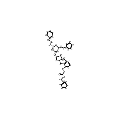 O=C(COc1cccc2c1CC1C[C@H](OC3C[C@@H](OCc4ccccc4)C[C@@H](COCc4ccccc4)O3)CC1C2)OCc1ccccc1